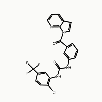 O=C(Nc1cccc(C(=O)n2ccc3cccnc32)c1)Nc1cc(C(F)(F)F)ccc1Cl